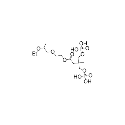 CCOC(C)COCCOC(=O)CC(C)(COP(=O)(O)O)COP(=O)(O)O